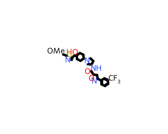 COCc1ncc(C2(O)CCC(N3CCC(NC(=O)C4CC(c5cccc(C(F)(F)F)c5)=NO4)C3)CC2)s1